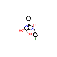 O=C(C1CC1c1ccccc1)N(Cc1ccc(F)cc1)Cc1cncc(O)c1CO